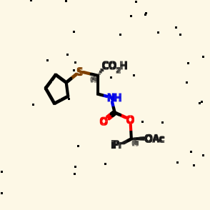 CC(=O)O[C@H](OC(=O)NC[C@H](SC1CCCC1)C(=O)O)C(C)C